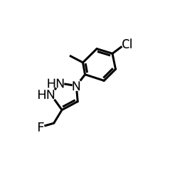 Cc1cc(Cl)ccc1N1C=C(CF)NN1